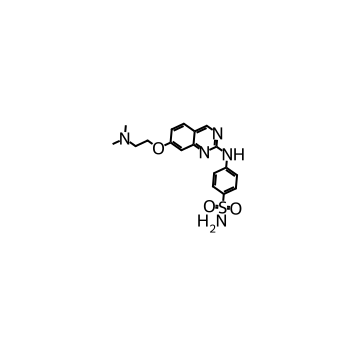 CN(C)CCOc1ccc2cnc(Nc3ccc(S(N)(=O)=O)cc3)nc2c1